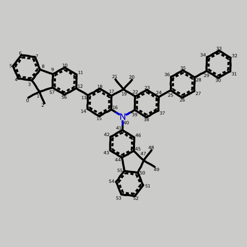 CC1(C)c2ccccc2-c2ccc(-c3ccc4c(c3)C(C)(C)c3cc(-c5ccc(-c6ccccc6)cc5)ccc3N4c3ccc4c(c3)C(C)(C)c3ccccc3-4)cc21